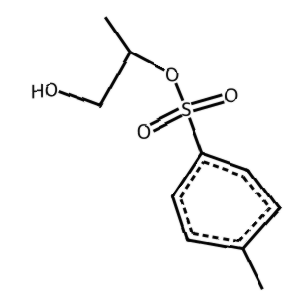 Cc1ccc(S(=O)(=O)OC(C)CO)cc1